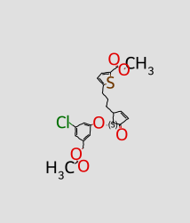 COC(=O)c1ccc(CCCC2C=CC(=O)[C@@H]2COc2cc(Cl)cc(COC(C)=O)c2)s1